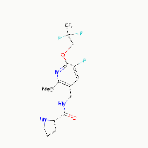 COc1nc(OCC(F)(F)C(F)(F)F)c(F)cc1CNC(=O)[C@@H]1CCCN1